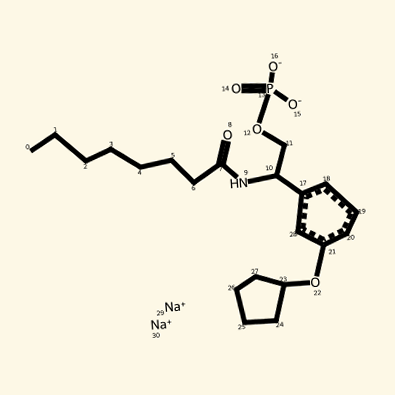 CCCCCCCC(=O)NC(COP(=O)([O-])[O-])c1cccc(OC2CCCC2)c1.[Na+].[Na+]